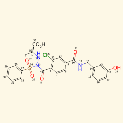 C[C@H](NN(C(=O)c1ccc(C(=O)NCc2cccc(O)c2)cc1Cl)S(=O)(=O)c1ccccc1)C(=O)O